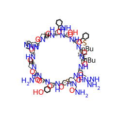 CCCC[C@H]1C(=O)N([13CH3])[C@@H](CCCC)C(=O)N[C@@H](CCCNC(=N)N)C(=O)NC(C(=O)NCC(N)=O)CSCC(=O)N[C@@H](Cc2ccc(O)cc2)C(=O)N(C)[C@@H](C)C(=O)N[C@@H](CC(N)=O)C(=O)N2CCC[C@H]2C(=O)N[C@@H](Cc2cnc[nH]2)C(=O)N[C@@H](CC(C)C)C(=O)N2CCC[C@H]2C(=O)N[C@@H](Cc2c[nH]c3ccccc23)C(=O)N[C@@H](CO)C(=O)N[C@@H](Cc2csc3ccccc23)C(=O)N1C